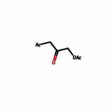 CC(=O)CC(=O)COC(C)=O